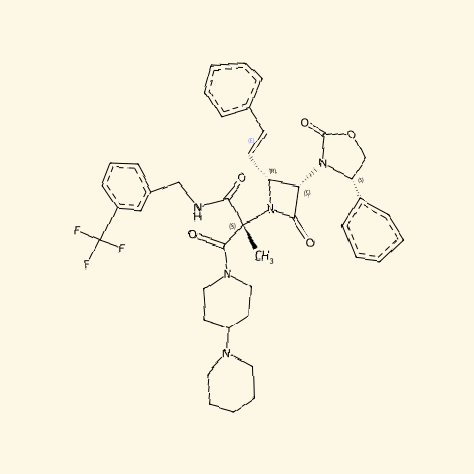 C[C@](C(=O)NCc1cccc(C(F)(F)F)c1)(C(=O)N1CCC(N2CCCCC2)CC1)N1C(=O)[C@@H](N2C(=O)OC[C@@H]2c2ccccc2)[C@H]1/C=C/c1ccccc1